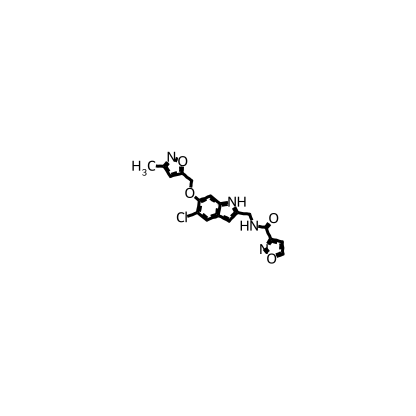 Cc1cc(COc2cc3[nH]c(CNC(=O)c4ccon4)cc3cc2Cl)on1